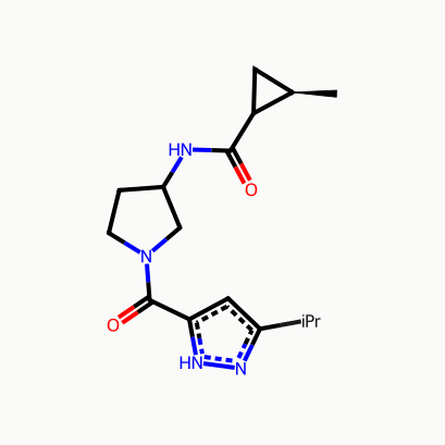 CC(C)c1cc(C(=O)N2CCC(NC(=O)C3C[C@H]3C)C2)[nH]n1